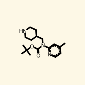 Cc1ccnc(N(CC2CCNCC2)C(=O)OC(C)(C)C)c1